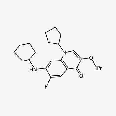 CC(C)Oc1cn(C2CCCC2)c2cc(NC3CCCCC3)c(F)cc2c1=O